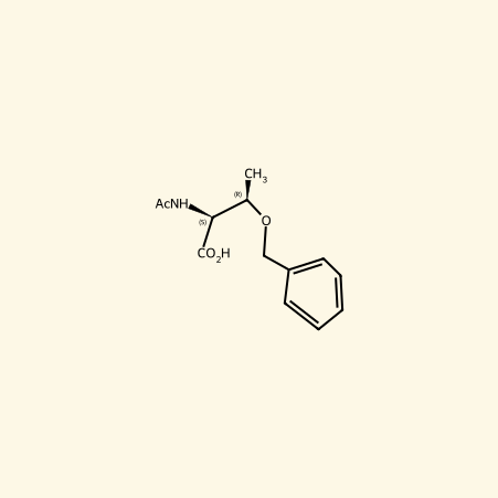 CC(=O)N[C@H](C(=O)O)[C@@H](C)OCc1ccccc1